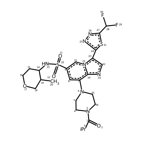 CC(C)C(=O)N1CCN(c2cc(S(=O)(=O)NC3CCOCC3C)cn3c(-c4nnc(C(F)F)s4)cnc23)CC1